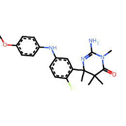 COc1ccc(Nc2ccc(F)c(C3(C)N=C(N)N(C)C(=O)C3(C)C)c2)cc1